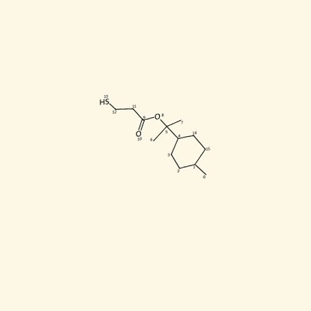 CC1CCC(C(C)(C)OC(=O)CCS)CC1